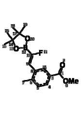 COC(=O)c1ccc(C)c(/C=C(\F)B2OC(C)(C)C(C)(C)O2)c1